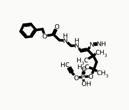 C#COP(=O)(O)OC(C)(C)CC(C)(C)/C(=C/NCNCC(=O)OCc1ccccc1)N=N